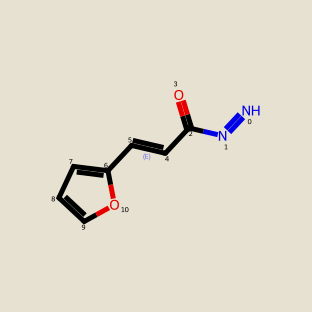 N=NC(=O)/C=C/c1ccco1